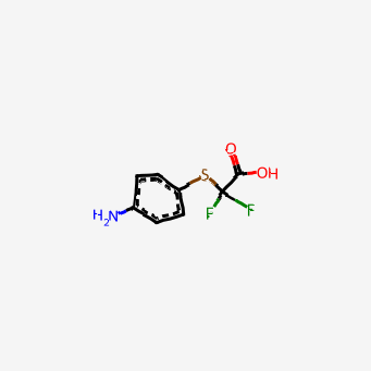 Nc1ccc(SC(F)(F)C(=O)O)cc1